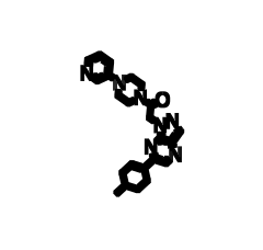 CC1CC=C(c2cnc3cnn(CC(=O)N4CCN(c5cccnc5)CC4)c3n2)CC1